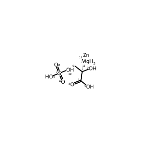 CC(O)C(=O)O.O=S(=O)(O)O.[MgH2].[Zn]